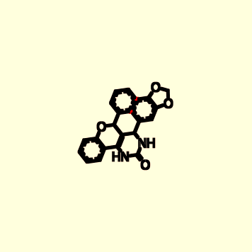 O=C1NC2=C(C(c3ccc4c(c3)OCO4)N1)C(c1ccccc1)Oc1ccccc12